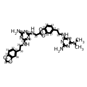 CN(C)c1nc(N)nc(NCCc2ccc3c(c2)OC(CNc2nc(N)nc(NCCc4ccc5c(c4)OCO5)n2)O3)n1